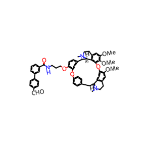 COc1cc2c3cc1Oc1c(OC)c(OC)cc4c1[C@@H](Cc1ccc(OCCCNC(=O)c5cccc(-c6ccc(C=O)cc6)c5)c(c1)Oc1ccc(cc1)C[C@@H]3N(C)CC2)N(C)CC4